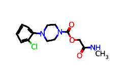 CNC(=O)COC(=O)N1CCN(c2ccccc2Cl)CC1